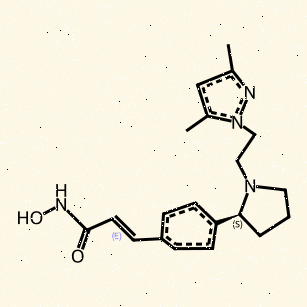 Cc1cc(C)n(CCN2CCC[C@H]2c2ccc(/C=C/C(=O)NO)cc2)n1